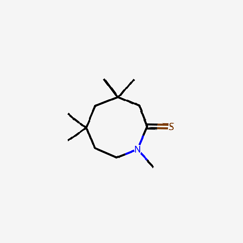 CN1CCC(C)(C)CC(C)(C)CC1=S